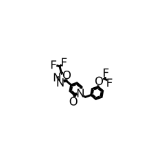 O=c1cc(-c2nnc(C(F)F)o2)ccn1Cc1cccc(OC(F)F)c1